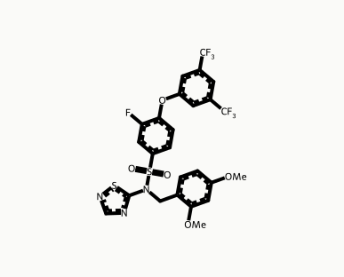 COc1ccc(CN(c2ncns2)S(=O)(=O)c2ccc(Oc3cc(C(F)(F)F)cc(C(F)(F)F)c3)c(F)c2)c(OC)c1